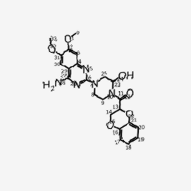 COc1cc2nc(N3CCN(C(=O)C4COc5ccccc5O4)C(O)C3)nc(N)c2cc1OC